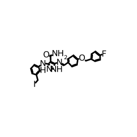 NC(=O)c1c(Nc2cccc(CI)c2)n[nH]c1/N=C/c1ccc(OCc2ccc(F)cc2)cc1